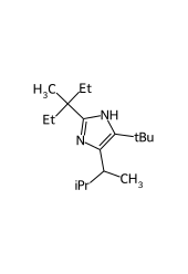 CCC(C)(CC)c1nc(C(C)C(C)C)c(C(C)(C)C)[nH]1